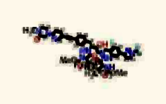 COC(=O)NC(C(=O)N[C@@H](Cc1ccc(C#Cc2ccc(N3CCN(C)C(=O)C3)nc2)cc1)[C@@H](O)CN(Cc1c(F)cc(-c2ccn(C(F)F)n2)cc1F)NC(=O)[C@@H](NC(=O)OC)C(C)(C)C(F)(F)F)C(C)(C)C(F)(F)F